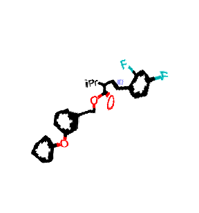 CC(C)C(/C=C/c1ccc(F)cc1F)C(=O)OCc1cccc(Oc2ccccc2)c1